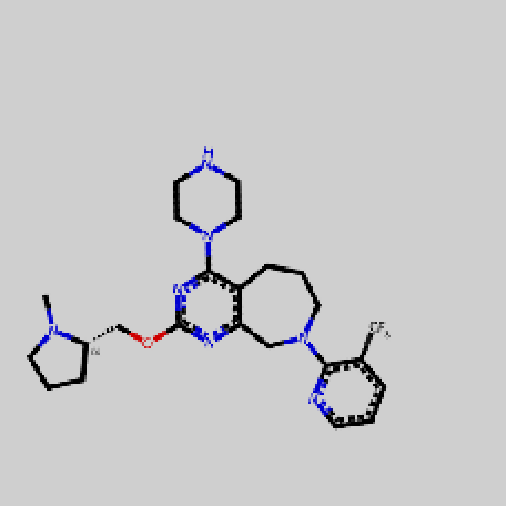 CN1CCC[C@H]1COc1nc2c(c(N3CCNCC3)n1)CCCN(c1ncccc1C(F)(F)F)C2